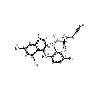 C[C@@H](Oc1cc(F)ccc1Nc1ncnc2cc(Br)cc(F)c12)C(=O)NCC#N